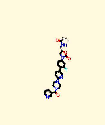 CC(=O)NC[C@H]1CN(c2ccc(-c3ccc(N4CCN(C(=O)c5cccnc5)CC4)nc3)c(F)c2)C(=O)O1